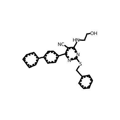 N#Cc1c(NCCO)nc(SCc2ccccc2)nc1-c1ccc(-c2ccccc2)cc1